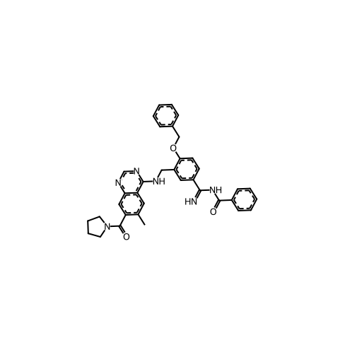 Cc1cc2c(NCc3cc(C(=N)NC(=O)c4ccccc4)ccc3OCc3ccccc3)ncnc2cc1C(=O)N1CCCC1